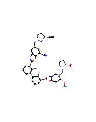 C#CC1CCN(Cc2cc(C#N)c3oc(-c4cccc(-c5cccc(-c6nc7cc(CN8CCC[C@H]8C(=O)O)c(OC(F)F)cc7o6)c5C)c4C)nc3c2)C1